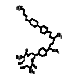 C=C(CO)C(=O)OCC(COC(=O)C(=C)CO)C1CCC(C(C)CCC(C)CCc2ccc(C3CCC(CCCCC)CC3)cc2)CC1